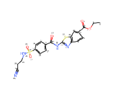 CCOC(=O)c1ccc2nc(NC(=O)c3ccc(S(=O)(=O)NCCC#N)cc3)sc2c1